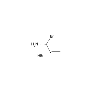 Br.C=CC(N)Br